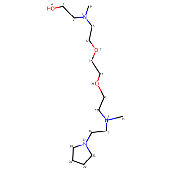 CN(CCO)CCOCCOCCN(C)CCN1CCCC1